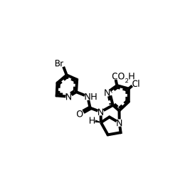 O=C(O)c1nc2c(cc1Cl)N1CC[C@@H](C1)N2C(=O)Nc1cc(Br)ccn1